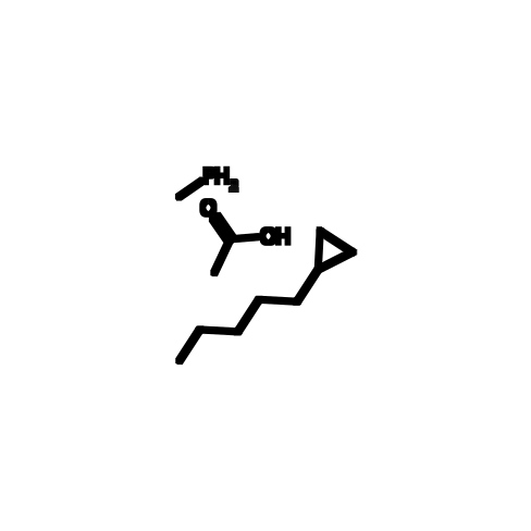 CC(=O)O.CCCCCC1CC1.CP